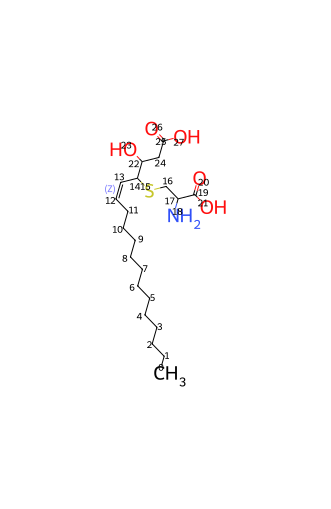 CCCCCCCCCCCC/C=C\C(SCC(N)C(=O)O)C(O)CC(=O)O